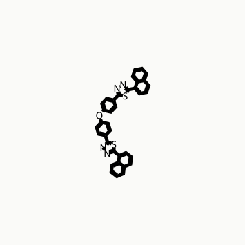 c1ccc2c(-c3nnc(-c4ccc(Oc5ccc(-c6nnc(-c7cccc8ccccc78)s6)cc5)cc4)s3)cccc2c1